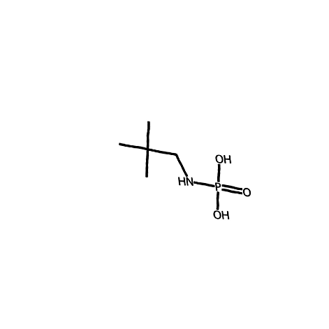 CC(C)(C)CNP(=O)(O)O